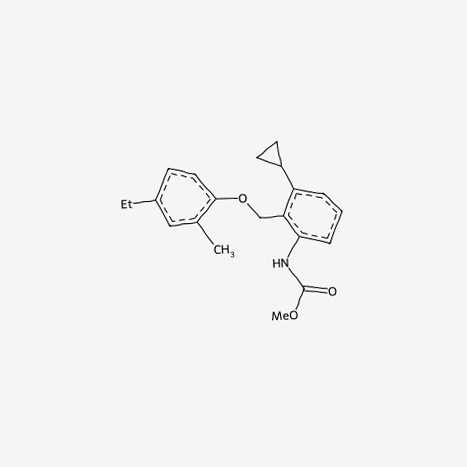 CCc1ccc(OCc2c(NC(=O)OC)cccc2C2CC2)c(C)c1